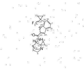 O=C(N[C@H]1C2CCN(CC2)C12CC2)c1cc2cccc(C3(C(F)(F)F)CC3)c2s1